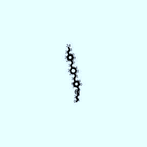 CC=CCOCc1ccc(CCC2CCC(CCc3ccc(C=CC)cc3)CC2)cc1